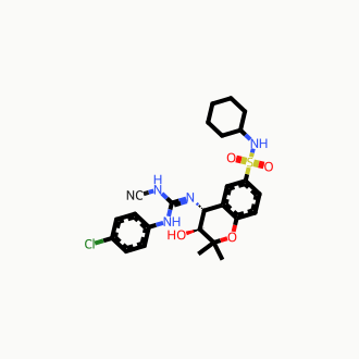 CC1(C)Oc2ccc(S(=O)(=O)NC3CCCCC3)cc2[C@@H](N=C(NC#N)Nc2ccc(Cl)cc2)[C@@H]1O